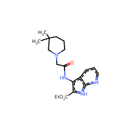 CCOC(=O)c1[nH]c2ncccc2c1NC(=O)CN1CCCC(C)(C)C1